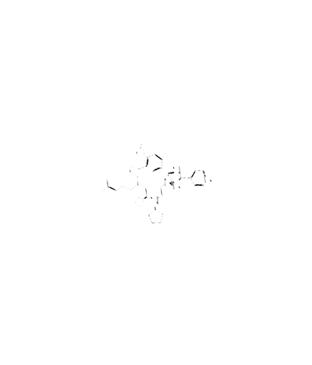 COc1ccc(-c2nc(-c3ccncc3)nn2CCN(C(=O)CC(C)CCC=C(C)C)C2CCCC2)cc1Cl